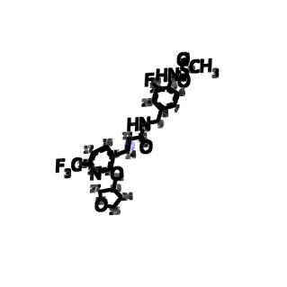 CS(=O)(=O)Nc1ccc(CNC(=O)/C=C/c2ccc(C(F)(F)F)nc2OC2CCOC2)cc1F